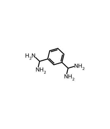 NC(N)c1cccc(C(N)N)c1